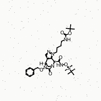 CC(C)(C)OC(=O)NCCCCn1ncc2c1[C@@H](C(=O)NO[Si](C)(C)C(C)(C)C)N1C[C@H]2N(OCc2ccccc2)C1=O